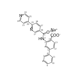 O=C(Nc1cc(-c2ccccc2)ccc1C(=O)[O-])c1ccc(-c2ccncc2)nc1.[Na+]